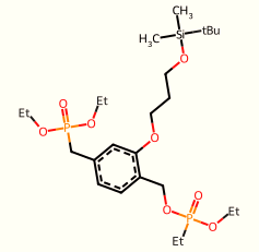 CCOP(=O)(CC)OCc1ccc(CP(=O)(OCC)OCC)cc1OCCCO[Si](C)(C)C(C)(C)C